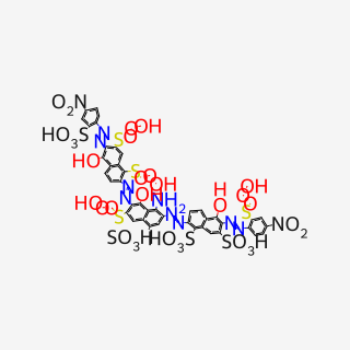 Nc1c(N=Nc2ccc3c(O)c(N=Nc4ccc([N+](=O)[O-])cc4SOOO)c(S(=O)(=O)O)cc3c2S(=O)(=O)O)cc(S(=O)(=O)O)c2cc(SOOO)c(N=Nc3ccc4c(O)c(N=Nc5ccc([N+](=O)[O-])cc5S(=O)(=O)O)c(SOOO)cc4c3SOOO)c(O)c12